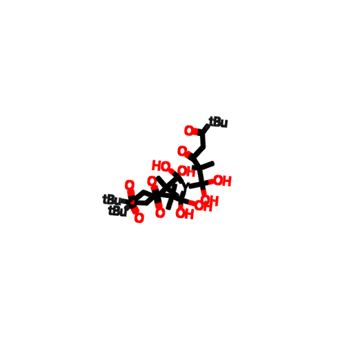 CC(C)(C)C(=O)CC(=O)C(C)(C)[C](O)(O)[Y]([C](O)(O)C(C)(C)C(=O)CC(=O)C(C)(C)C)[C](O)(O)C(C)(C)C(=O)CC(=O)C(C)(C)C